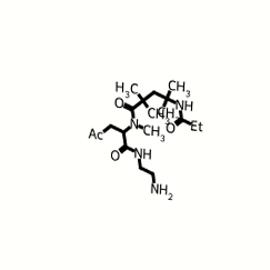 CCC(=O)NC(C)(C)CC(C)(C)C(=O)N(C)C(CC(C)=O)C(=O)NCCN